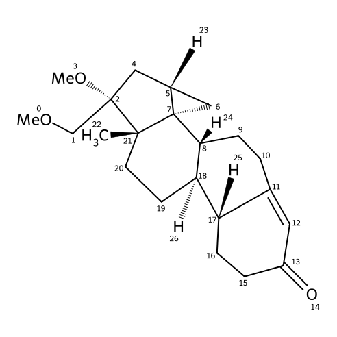 COC[C@@]1(OC)C[C@@H]2C[C@@]23[C@@H]2CCC4=CC(=O)CC[C@@H]4[C@H]2CC[C@]13C